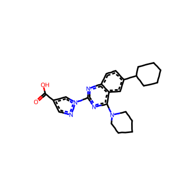 O=C(O)c1cnn(-c2nc(N3CCCCC3)c3cc(C4CCCCC4)ccc3n2)c1